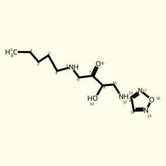 CCCCCNCC(=O)C(O)CN.c1cnon1